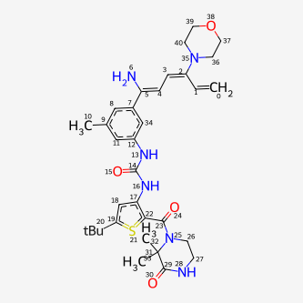 C=C/C(=C\C=C(/N)c1cc(C)cc(NC(=O)Nc2cc(C(C)(C)C)sc2C(=O)N2CCNC(=O)C2(C)C)c1)N1CCOCC1